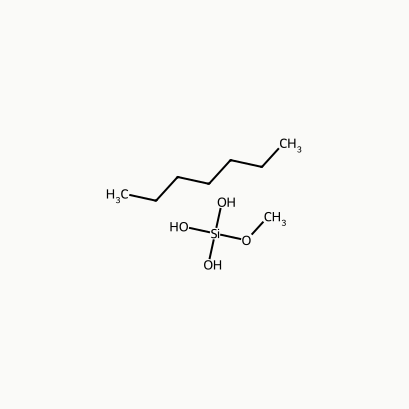 CCCCCCC.CO[Si](O)(O)O